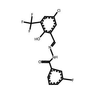 O=C(N/N=C/c1cc(Cl)cc(C(F)(F)F)c1O)c1cccc(F)c1